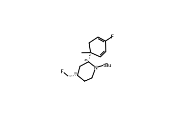 CC1([C@H]2C[C@@H](CF)CCN2C(C)(C)C)C=CC(F)=CC1